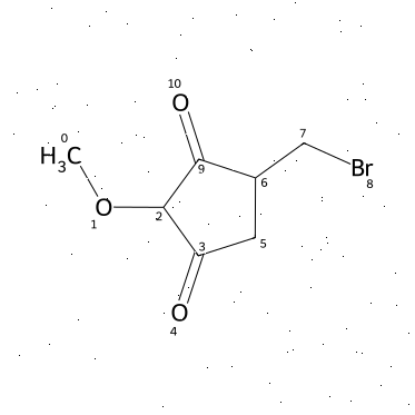 COC1C(=O)CC(CBr)C1=O